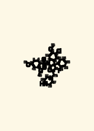 COc1ccc(S(=O)(=O)N2C(=O)C(CCCN3CCNCC3)(c3ccccc3F)c3cc(Cl)c(OC)cc32)c(OC)c1